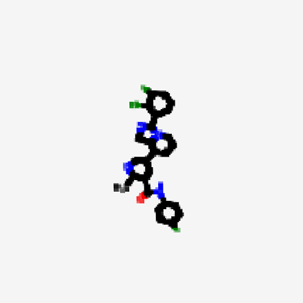 Cc1ncc(-c2cccn3c(-c4cccc(F)c4Cl)ncc23)cc1C(=O)Nc1ccc(F)cc1